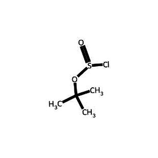 CC(C)(C)OS(=O)Cl